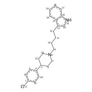 Clc1ccc(C2CCN(CCCCc3c[nH]c4ccccc34)CC2)cc1